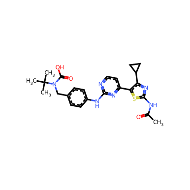 CC(=O)Nc1nc(C2CC2)c(-c2ccnc(Nc3ccc(CN(C(=O)O)C(C)(C)C)cc3)n2)s1